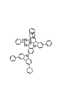 C1=CCC(C2=NC(c3cc(N4C5C=CC(c6ccccc6)=CC5C5C=C(C6CC=CCC6)C=CC54)ccc3N3C4C=CC(c5ccccc5)=CC4C4C=C(c5ccccc5)C=CC43)=NC(C3C=CC=CC3)N2)C=C1